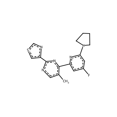 Cc1cnc(-c2cscn2)nc1-c1cc(F)cc(N2CCCC2)n1